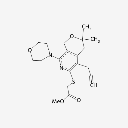 C#CCc1c(SCC(=O)OC)nc(N2CCOCC2)c2c1CC(C)(C)OC2